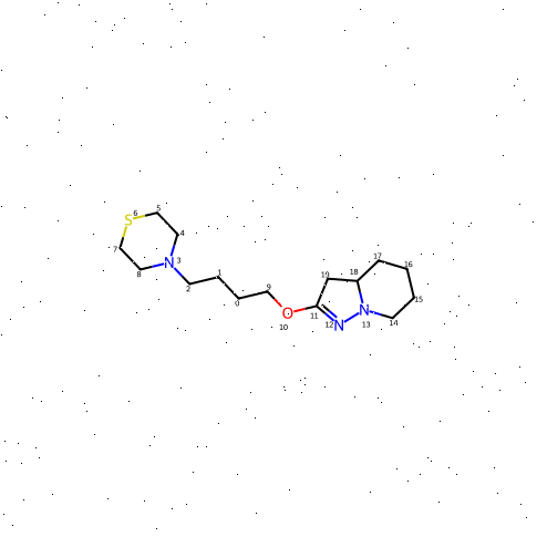 C(CCN1CCSCC1)COC1=NN2CCCCC2C1